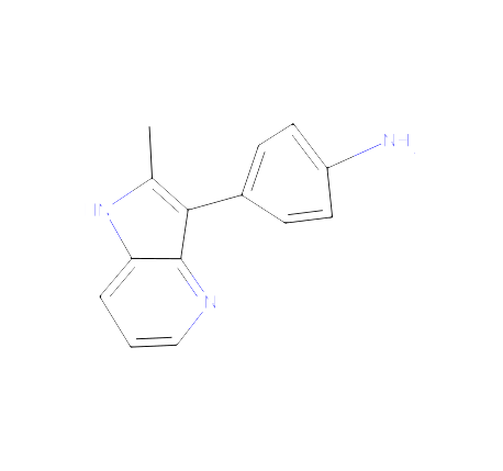 Cc1[nH]c2cccnc2c1-c1ccc(N)cc1